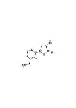 NCc1ccnc(N2CC(O)C(F)C2)c1